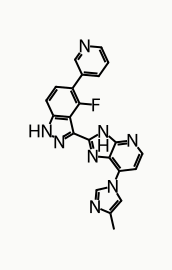 Cc1cn(-c2ccnc3[nH]c(-c4n[nH]c5ccc(-c6cccnc6)c(F)c45)nc23)cn1